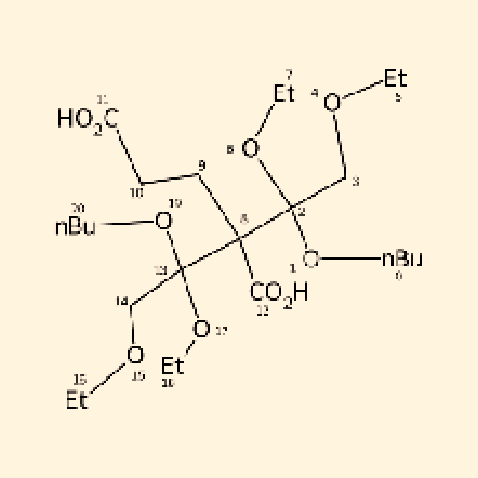 CCCCOC(COCC)(OCC)C(CCC(=O)O)(C(=O)O)C(COCC)(OCC)OCCCC